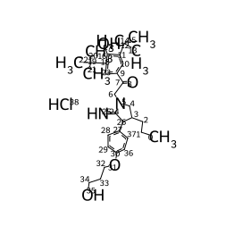 CCCC1CN(CC(=O)c2cc(C(C)(C)C)c(O)c(C(C)(C)C)c2)C(=N)C1c1ccc(OCCCO)cc1.Cl